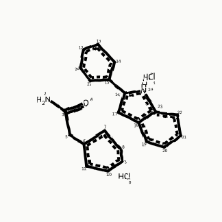 Cl.Cl.NC(=O)Cc1ccccc1.c1ccc(-c2cc3ccccc3[nH]2)cc1